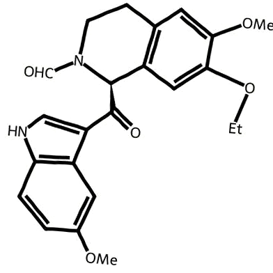 CCOc1cc2c(cc1OC)CCN(C=O)[C@@H]2C(=O)c1c[nH]c2ccc(OC)cc12